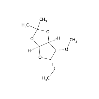 CC[C@@H]1O[C@H]2OC(C)(C)O[C@H]2[C@@H]1OC